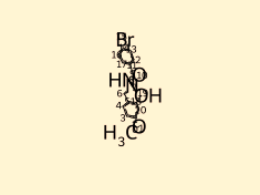 COc1ccc(C=NNC(=O)c2ccc(Br)cc2)c(O)c1